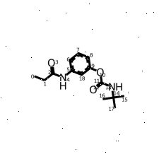 CCC(=O)Nc1cccc(OC(=O)NC(C)(C)C)c1